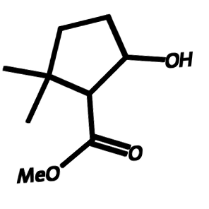 COC(=O)C1C(O)CCC1(C)C